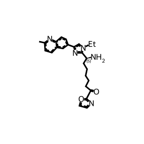 CCn1cc(-c2ccc3nc(C)ccc3c2)nc1[C@@H](N)CCCCCC(=O)c1ncco1